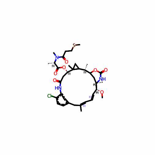 CO[C@@H]1/C=C/C=C(\C)Cc2ccc(Cl)c(c2)NC(=O)C[C@H](OC(=O)[C@H](C)N(C)C(=O)CCSC)C2(C)CC2[C@H](C)C2C[C@@]1(C)NC(=O)O2